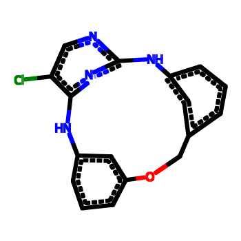 Clc1cnc2nc1Nc1cccc(c1)OCc1cccc(c1)N2